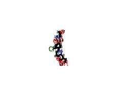 CCC(Cc1cccc(-c2ccc(S(=O)(=O)N(C)CC3CO3)cc2Cl)n1)C(=O)O